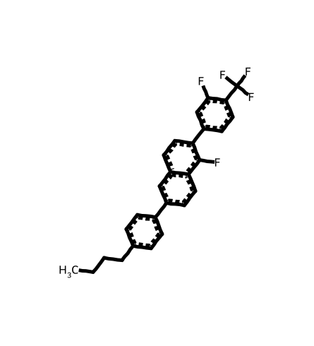 CCCCc1ccc(-c2ccc3c(F)c(-c4ccc(C(F)(F)F)c(F)c4)ccc3c2)cc1